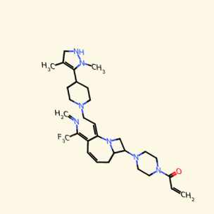 C=CC(=O)N1CCN(C2CN3C(=C/CN4CCC(C5=C(C)CNN5C)CC4)/C(=C(\N=C)C(F)(F)F)C=CCC23)CC1